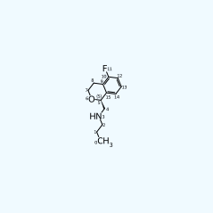 CCCNC[C@H]1OCCc2c(F)cccc21